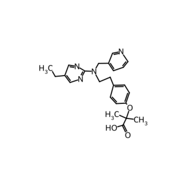 CCc1cnc(N(CCc2ccc(OC(C)(C)C(=O)O)cc2)Cc2cccnc2)nc1